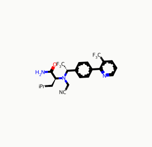 CC(C)C[C@@H](C(N)=O)N(CC#N)[C@@H](c1ccc(-c2ncccc2C(F)(F)F)cc1)C(F)(F)F